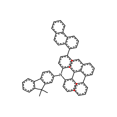 CC1(C)c2ccccc2-c2ccc(N(c3ccc(-c4cccc5c4ccc4ccccc45)cc3)c3ccccc3-c3cccc4cccc(-c5ccccc5)c34)cc21